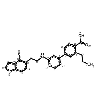 CCCc1cc(-c2cc(NCCc3ccc4sccc4c3F)ncn2)ccc1C(=O)O